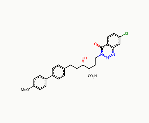 COc1ccc(-c2ccc(CC[C@@H](O)[C@H](CCn3nnc4cc(Cl)ccc4c3=O)C(=O)O)cc2)cc1